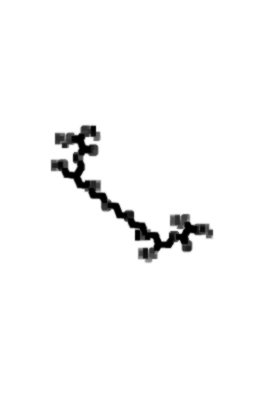 C=C(C)C(=O)OCC(C)CNCCOCCOCCNCC(CO)COC(=O)C(=C)C